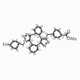 CCc1ccc(Cn2nnc3c2-c2ccccc2-c2nnn(Cc4ccc(C(=O)OC)cc4)c2-c2ccccc2-3)cc1